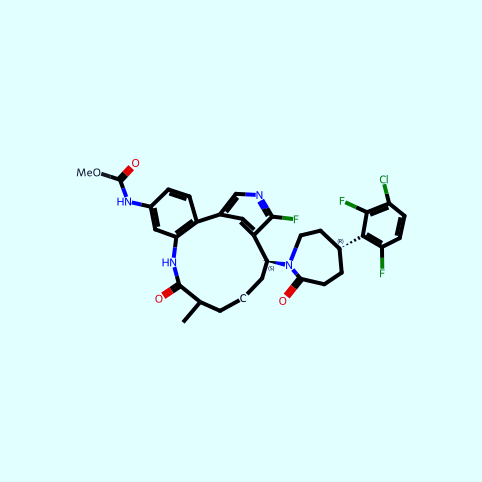 COC(=O)Nc1ccc2c(c1)NC(=O)C(C)CCC[C@H](N1CC[C@H](c3c(F)ccc(Cl)c3F)CCC1=O)c1cc-2cnc1F